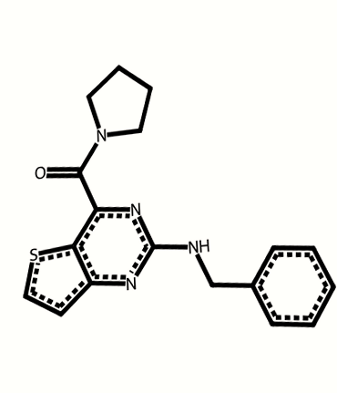 O=C(c1nc(NCc2ccccc2)nc2ccsc12)N1CCCC1